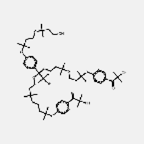 CC(C)(CCO)OCCC(C)(C)Oc1ccc(C(OCCC(C)(C)OCCC(C)(C)Oc2ccc(C(=O)C(C)(C)O)cc2)(OCCC(C)(C)OCCC(C)(C)Oc2ccc(C(=O)C(C)(C)O)cc2)C(C)(C)O)cc1